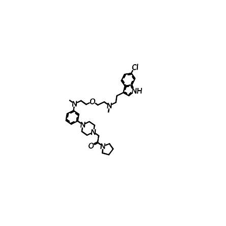 CN(CCOCCN(C)c1cccc(N2CCN(CC(=O)N3CCCC3)CC2)c1)CCc1c[nH]c2cc(Cl)ccc12